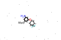 COc1cc(N)cc(OC2CCC(F)(F)CC2)c1